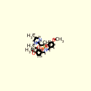 COc1ccc(CN(Cc2ccc(OC)cc2)S(=O)(=O)[C@H](C)[C@@H](OC(C)C)c2ncc(C)cn2)cc1